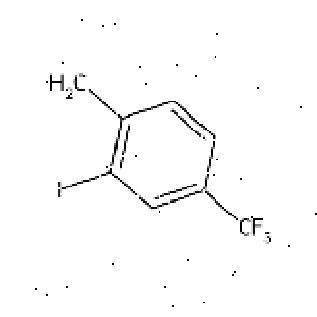 [CH2]c1ccc(C(F)(F)F)cc1I